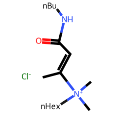 CCCCCC[N+](C)(C)/C(C)=C/C(=O)NCCCC.[Cl-]